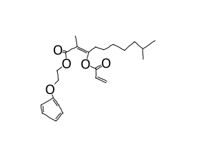 C=CC(=O)OC(CCCCCC(C)C)=C(C)C(=O)OCCOc1ccccc1